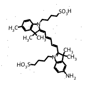 Cc1ccc2c(c1)C(C)(C)\C(=C/C=C/C=C/C1=[N+](CCCCS(=O)(=O)O)c3ccc(N)cc3C1(C)C)N2CCCCS(=O)(=O)O